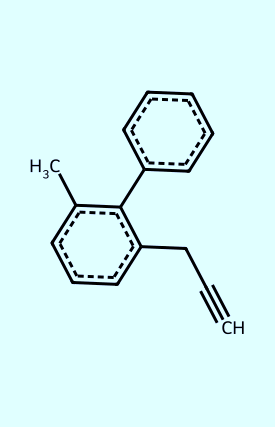 C#CCc1cccc(C)c1-c1ccccc1